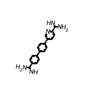 N=C(N)c1ccc(-c2ccc(-c3ccc(C(=N)N)nc3)cc2)cc1